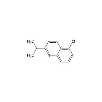 CC(C)c1ccc2c(Cl)cccc2n1